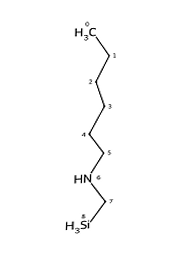 CCCCCCNC[SiH3]